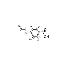 C=CCOc1c(C)c(C)c(C(=O)O)c(C)c1C